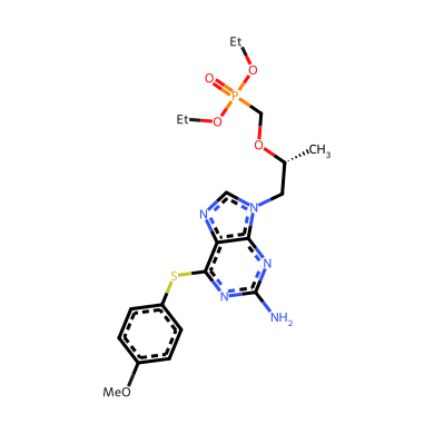 CCOP(=O)(CO[C@H](C)Cn1cnc2c(Sc3ccc(OC)cc3)nc(N)nc21)OCC